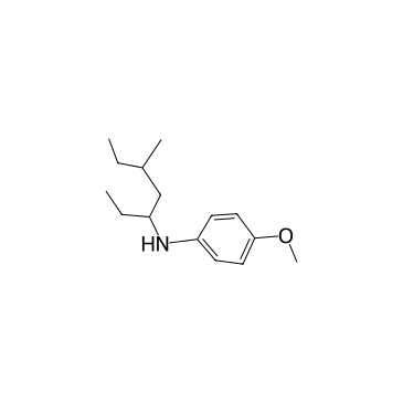 CCC(C)CC(CC)Nc1ccc(OC)cc1